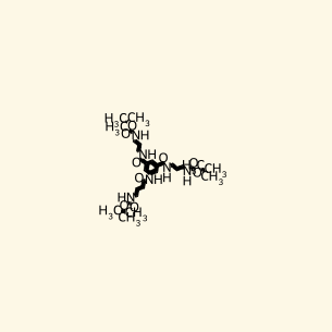 CC(C)(C)OC(=O)NCCCNC(=O)c1cc(NC(=O)CCCNC(=O)OC(C)(C)C)cc(C(=O)NCCCNC(=O)OC(C)(C)C)c1